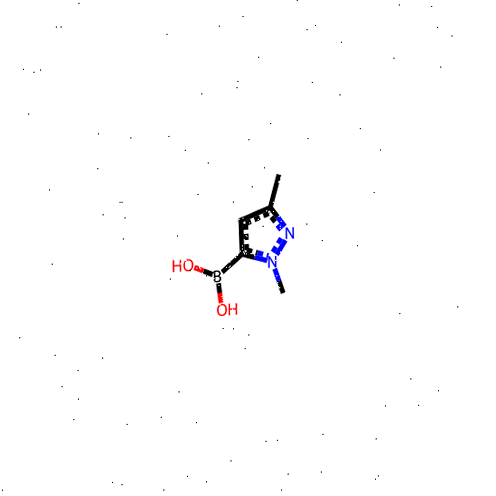 Cc1cc(B(O)O)n(C)n1